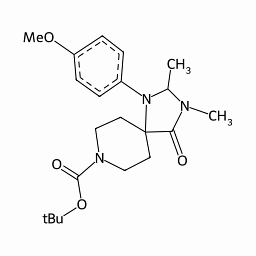 COc1ccc(N2C(C)N(C)C(=O)C23CCN(C(=O)OC(C)(C)C)CC3)cc1